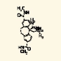 CNC(=O)c1ccc2c(c1)CCc1cc(C(=O)NC)ccc1C2(C[C@H](C)N)C(=N)N